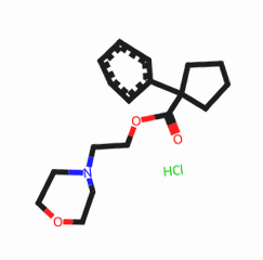 Cl.O=C(OCCN1CCOCC1)C1(c2ccccc2)CCCC1